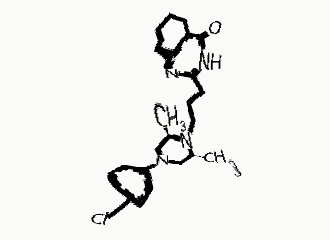 C[C@@H]1CN(c2ccc(Cl)cc2)C[C@@H](C)N1CCCc1nc2c(c(=O)[nH]1)CCCC2